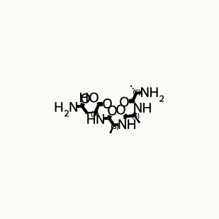 C[C@H](N)C(=O)N[C@@H](C)C(=O)N[C@@H](C)C(=O)N[C@@H](CC(N)=O)C(=O)O